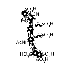 CC(=O)Nc1cc(N=Nc2cc(OCCCS(=O)(=O)O)c(N=Nc3c(C)c(C#N)c4nc5c(S(=O)(=O)O)ccc(Cl)c5n4c3O)cc2C)c(SCCCS(=O)(=O)O)cc1N=Nc1nc2c(S(=O)(=O)O)cc3c(S(=O)(=O)O)cc(S(=O)(=O)O)cc3c2s1